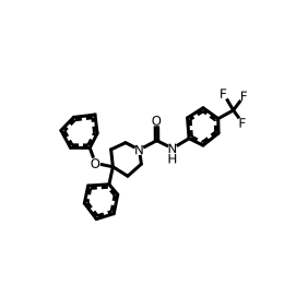 O=C(Nc1ccc(C(F)(F)F)cc1)N1CCC(Oc2ccccc2)(c2ccccc2)CC1